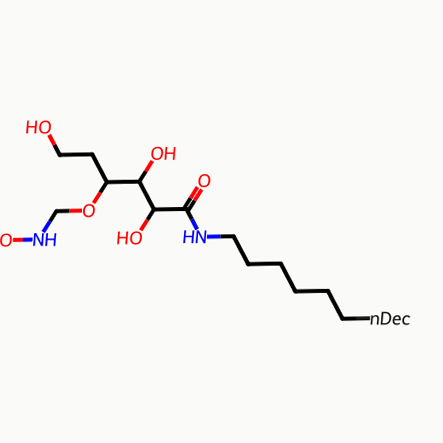 CCCCCCCCCCCCCCCCNC(=O)C(O)C(O)C(CCO)OCNO